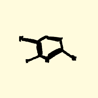 Fc1c[c]c(Br)nc1F